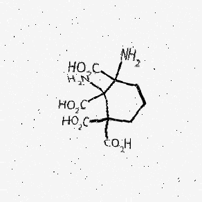 NC1(C(=O)O)CCCC(C(=O)O)(C(=O)O)C1(N)C(=O)O